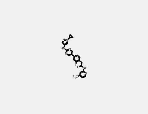 O=C(Cc1ccc(-c2cnc(Nc3cnn(C4CC4)c3)nc2)cc1F)Nc1cc(C(F)(F)F)ccn1